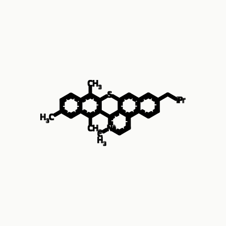 Cc1ccc2c(C)c3c(c(C)c2c1)-c1c2c(cc4cc(CC(C)C)ccc4c2cc[n+]1C)S3